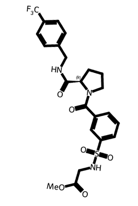 COC(=O)CNS(=O)(=O)c1cccc(C(=O)N2CCC[C@@H]2C(=O)NCc2ccc(C(F)(F)F)cc2)c1